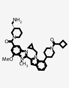 COc1cc(C(=O)N2CCC[C@@H](CN)C2)cc2nc(-c3cc4cccc(C5CCN(C(=O)C6CCC6)CC5)c4n3CC3CC3)n(C)c12